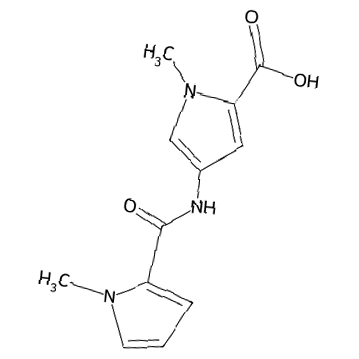 Cn1cc(NC(=O)c2cccn2C)cc1C(=O)O